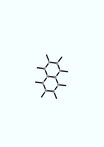 CB1N(C)B(C)N2B(C)N(C)B(C)N(C)B2N1C